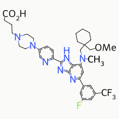 COCC1(CN(C)c2cc(-c3cc(F)cc(C(F)(F)F)c3)nc3nc(-c4ccc(N5CCN(CCCC(=O)O)CC5)cn4)[nH]c23)CCCCC1